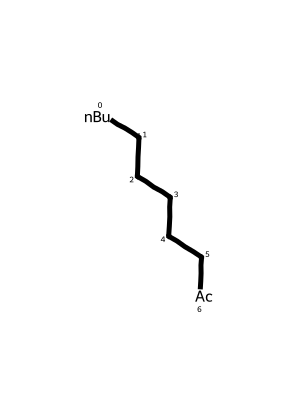 CCCC[CH]CCCCC(C)=O